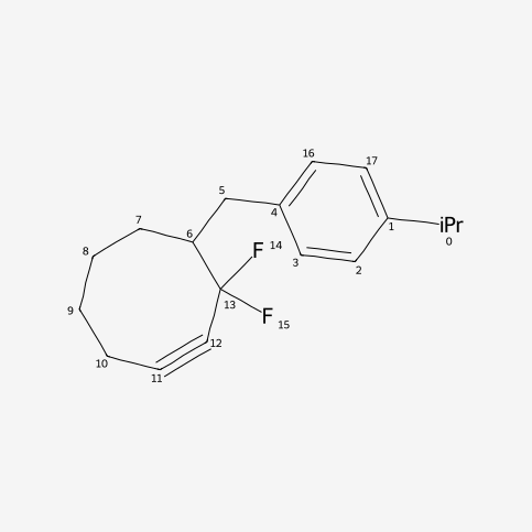 CC(C)c1ccc(CC2CCCCC#CC2(F)F)cc1